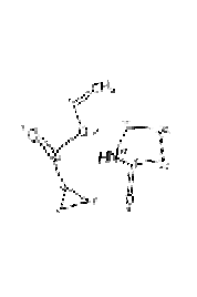 C=COC(=O)C1CC1.O=C1CCCN1